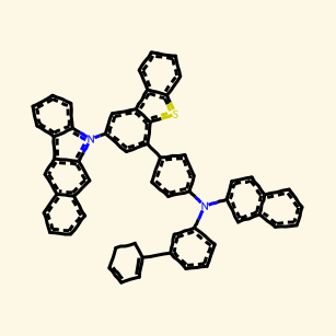 C1=CCCC(c2cccc(N(c3ccc(-c4cc(-n5c6ccccc6c6cc7ccccc7cc65)cc5c4sc4ccccc45)cc3)c3ccc4ccccc4c3)c2)=C1